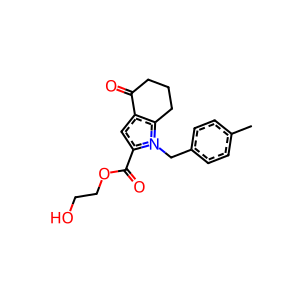 Cc1ccc(Cn2c(C(=O)OCCO)cc3c2CCCC3=O)cc1